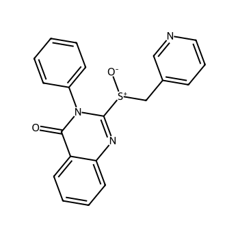 O=c1c2ccccc2nc([S+]([O-])Cc2cccnc2)n1-c1ccccc1